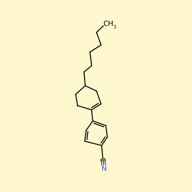 CCCCCCC1CC=C(c2ccc(C#N)cc2)CC1